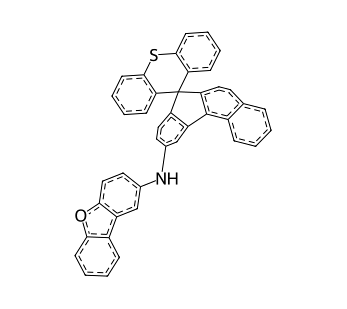 c1ccc2c(c1)Sc1ccccc1C21c2ccc(Nc3ccc4oc5ccccc5c4c3)cc2-c2c1ccc1ccccc21